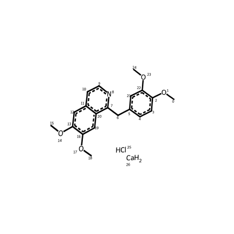 COc1ccc(Cc2nccc3cc(OC)c(OC)cc23)cc1OC.Cl.[CaH2]